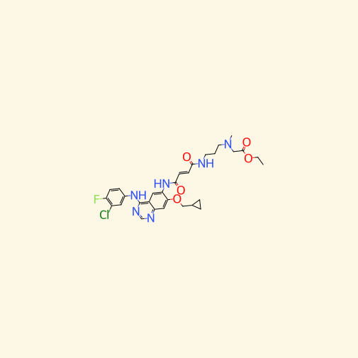 CCOC(=O)CN(C)CCCNC(=O)/C=C/C(=O)Nc1cc2c(Nc3ccc(F)c(Cl)c3)ncnc2cc1OCC1CC1